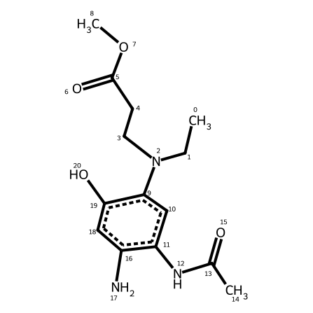 CCN(CCC(=O)OC)c1cc(NC(C)=O)c(N)cc1O